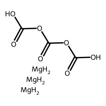 O=C(O)OC(=O)OC(=O)O.[MgH2].[MgH2].[MgH2]